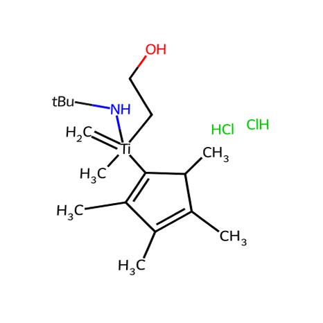 Cl.Cl.[CH2]=[Ti]([CH3])([CH2]CO)([NH]C(C)(C)C)[C]1=C(C)C(C)=C(C)C1C